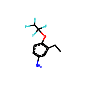 CCc1cc(N)ccc1OC(F)(F)C(F)F